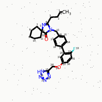 CCCCC1=NC2(CCCCC2)C(=O)N1Cc1ccc(-c2cc(OCc3nnn[nH]3)ccc2F)cc1